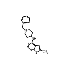 Cc1cc2c(NC3CCN(Cc4ccccc4)CC3)ncnc2s1